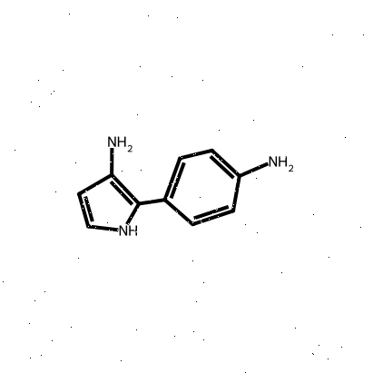 Nc1ccc(-c2[nH]ccc2N)cc1